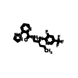 CCC[C@@H](CNC(=O)c1ncccc1-n1nccn1)Nc1ncc(C(F)(F)F)cc1F